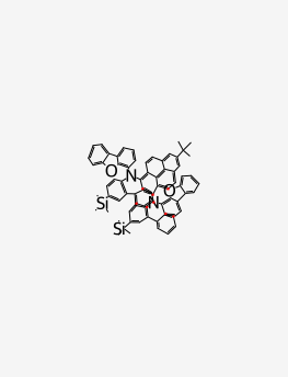 CC(C)(C)c1cc2ccc3c(N(c4ccc([Si](C)(C)C)cc4-c4ccccc4)c4cccc5c4oc4ccccc45)cc(N(c4ccc([Si](C)(C)C)cc4-c4ccccc4)c4cccc5c4oc4ccccc45)c4ccc(c1)c2c34